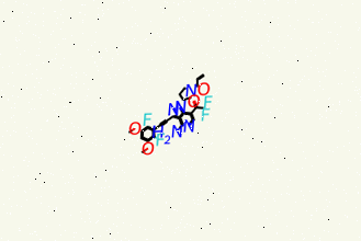 C=CC(=O)N1CCC(n2nc(C#Cc3c(F)c(OC)cc(OC)c3F)c3c(N)ncc(C(=O)C(F)F)c32)C1